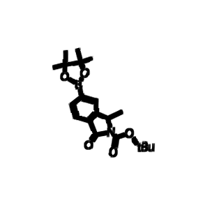 CC1c2cc(B3OC(C)(C)C(C)(C)O3)ccc2C(=O)N1C(=O)OC(C)(C)C